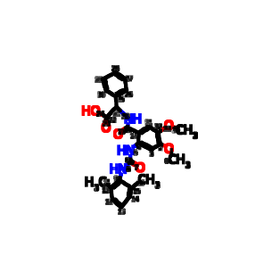 COc1cc(NC(=O)Nc2c(C)cccc2C)c(C(=O)NC(C(=O)O)c2ccccc2)cc1OC